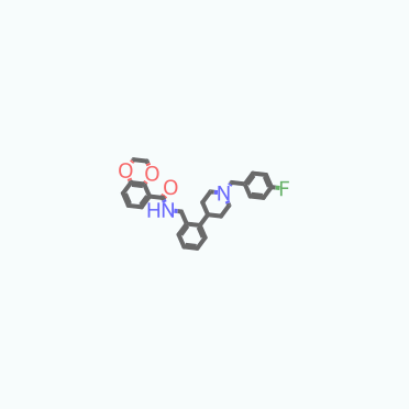 O=C(NCc1ccccc1C1CCN(Cc2ccc(F)cc2)CC1)c1cccc2c1OCCO2